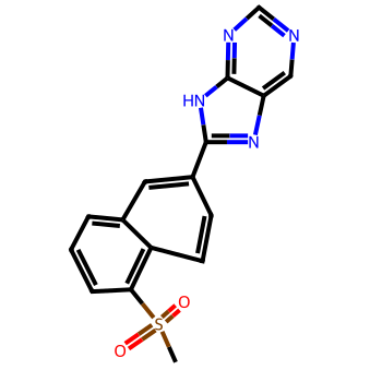 CS(=O)(=O)c1cccc2cc(-c3nc4cncnc4[nH]3)ccc12